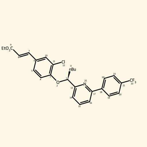 CCCC[C@H](Oc1ccc(/C=C/C(=O)OCC)cc1Cl)c1cccc(-c2ccc(C(F)(F)F)cc2)n1